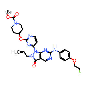 C=CCn1c(=O)c2cnc(Nc3ccc(OCCF)cc3)nc2n1-c1ccnc(OC2CCN(C(=O)OC(C)(C)C)CC2)n1